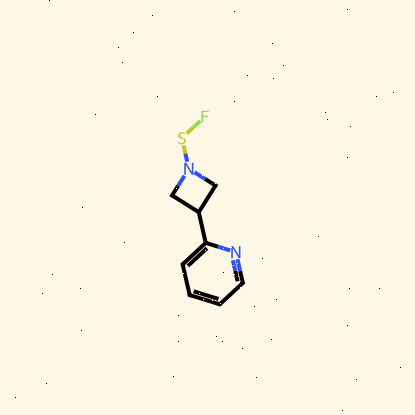 FSN1CC(c2ccccn2)C1